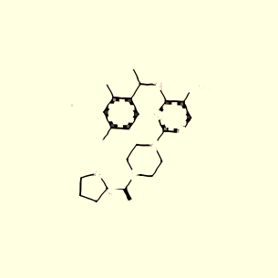 COc1cnc(N2CCN(C(=O)[C@H]3CCCN3)CC2)nc1NC(C)c1ccc(Cl)cc1Cl.Cl